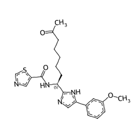 COc1cccc(-c2cnc([C@H](CCCCCC(C)=O)NC(=O)c3cncs3)[nH]2)c1